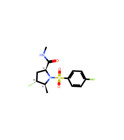 CNC(=O)[C@@H]1C[C@@H](F)[C@H](C)N1S(=O)(=O)c1ccc(F)cc1